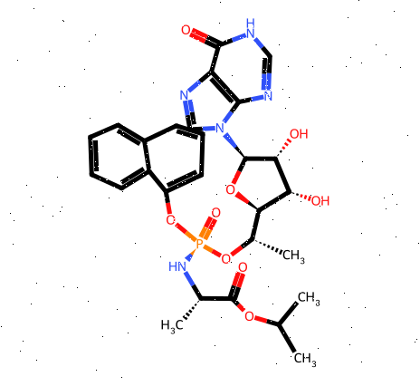 CC(C)OC(=O)[C@H](C)N[P@](=O)(Oc1cccc2ccccc12)O[C@@H](C)[C@H]1O[C@@H](n2cnc3c(=O)[nH]cnc32)[C@H](O)[C@@H]1O